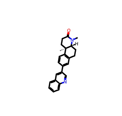 CN1C(=O)CC[C@]2(C)c3ccc(-c4cnc5ccccc5c4)cc3CC[C@@H]12